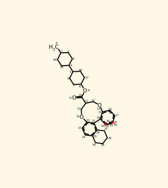 CC1CCC(C2CCC(OC(=O)C3COc4ccc5c(c4-c4c(ccc6c4CCCC6)OC3)CCCC5)CC2)CC1